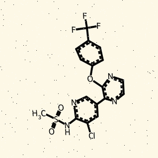 CS(=O)(=O)Nc1ncc(-c2nccnc2Oc2ccc(C(F)(F)F)cc2)cc1Cl